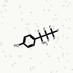 NC(F)(c1ccc(O)cc1)C(F)(F)C(F)(F)F